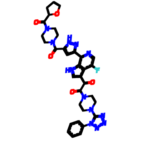 O=C(C(=O)N1CCN(c2nnnn2-c2ccccc2)CC1)c1c[nH]c2c(-c3cc(C(=O)N4CCN(C(=O)C5CCCO5)CC4)[nH]n3)ncc(F)c12